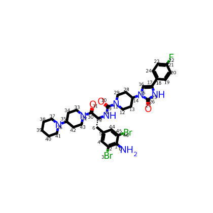 Nc1c(Br)cc(C[C@@H](NC(=O)N2CCC(n3cc(-c4ccc(F)cc4)[nH]c3=O)CC2)C(=O)N2CCC(N3CCCCC3)CC2)cc1Br